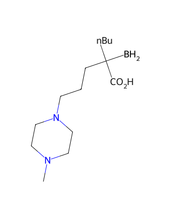 BC(CCCC)(CCCN1CCN(C)CC1)C(=O)O